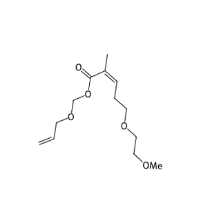 C=CCOCOC(=O)C(C)=CCCOCCOC